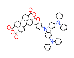 O=C1OC(=O)c2ccc3c4cc(-c5ccc(-n6c7ccc(N(c8ccccc8)c8ccccc8)cc7c7cc(N(c8ccccc8)c8ccccc8)ccc76)cc5)c5c6c(ccc(c7ccc1c2c73)c64)C(=O)OC5=O